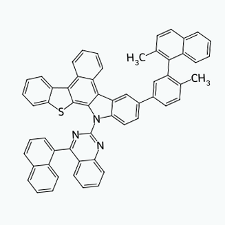 Cc1ccc(-c2ccc3c(c2)c2c4ccccc4c4c5ccccc5sc4c2n3-c2nc(-c3cccc4ccccc34)c3ccccc3n2)cc1-c1c(C)ccc2ccccc12